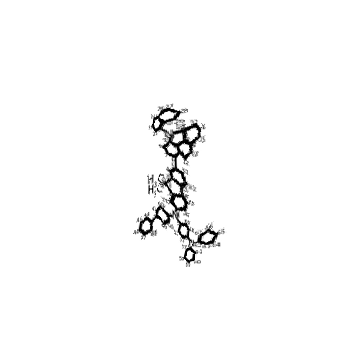 CC1(C)c2cc(-c3ccc4c5c3ccc3cccc(c35)n4-c3cccc4ccccc34)ccc2-c2ccc(N(c3ccc(-c4ccccc4)cc3)c3ccc(N(c4ccccc4)c4ccccc4)cc3)cc21